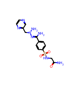 NC(=O)CNS(=O)(=O)c1ccc(/C(N)=N/N(N)Cc2cnccn2)cc1